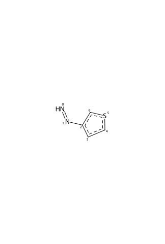 N=Nc1ccsc1